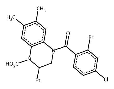 CCC1CN(C(=O)c2ccc(Cl)cc2Br)c2cc(C)c(C)cc2N1C(=O)O